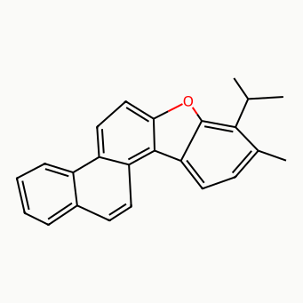 Cc1ccc2c(oc3ccc4c5ccccc5ccc4c32)c1C(C)C